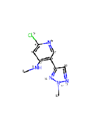 CNc1cc(Cl)ncc1-c1cnn(C)n1